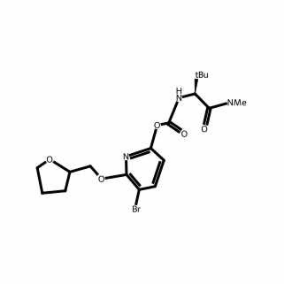 CNC(=O)[C@@H](NC(=O)Oc1ccc(Br)c(OCC2CCCO2)n1)C(C)(C)C